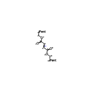 CCCC(C)COC(=O)/C=C/C(=O)OCC(C)CCC